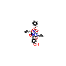 CCCC[C@@H]1ON(C(=O)OCc2ccccc2)C2CN(CCCC)C(=O)[C@H](Cc3ccc(O)cc3)N2C1=O